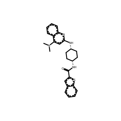 CN(C)c1cc(N[C@H]2CC[C@@H](NC(=O)c3cc4ccccc4s3)CC2)nc2ccccc12